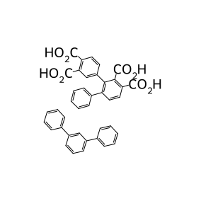 O=C(O)c1ccc(-c2c(-c3ccccc3)ccc(C(=O)O)c2C(=O)O)cc1C(=O)O.c1ccc(-c2cccc(-c3ccccc3)c2)cc1